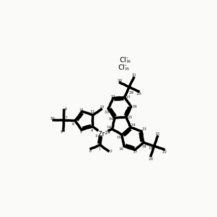 C[C](C)=[Zr+2]([C]1=CC(C(C)(C)C)=CC1C)[CH]1c2ccc(C(C)(C)C)cc2-c2cc(C(C)(C)C)ccc21.[Cl-].[Cl-]